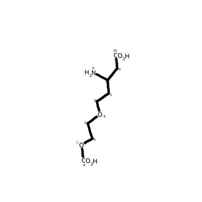 NC(CCOCCOC(=O)O)CC(=O)O